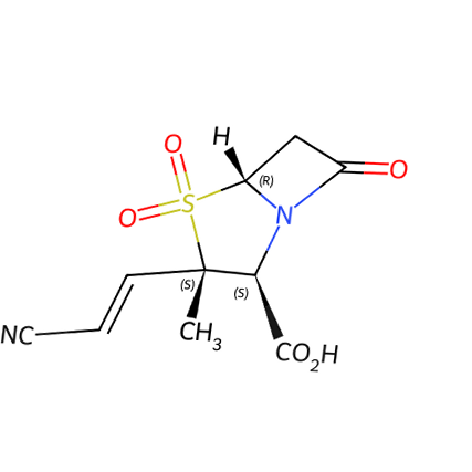 C[C@]1(C=CC#N)[C@H](C(=O)O)N2C(=O)C[C@H]2S1(=O)=O